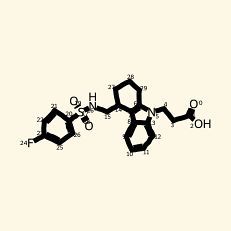 O=C(O)CCn1c2c(c3ccccc31)C(CNS(=O)(=O)c1ccc(F)cc1)CCC2